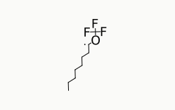 CCCCCCC[CH]OC(F)(F)F